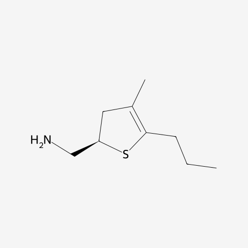 CCCC1=C(C)C[C@H](CN)S1